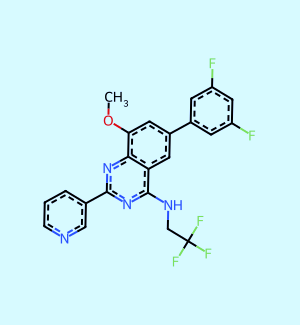 COc1cc(-c2cc(F)cc(F)c2)cc2c(NCC(F)(F)F)nc(-c3cccnc3)nc12